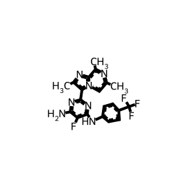 Cc1cn2c(-c3nc(N)c(F)c(Nc4ccc(C(F)(F)F)cc4)n3)c(C)nc2c(C)n1